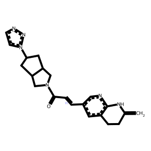 C=C1CCc2cc(/C=C/C(=O)N3CC4CC(n5ccnn5)CC4C3)cnc2N1